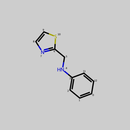 c1ccc(NCc2nccs2)cc1